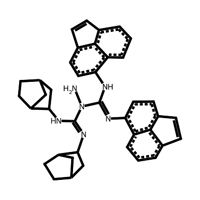 NN(C(=Nc1ccc2c3c(cccc13)C=C2)Nc1ccc2c3c(cccc13)C=C2)C(=NC1CC2CCC1C2)NC1CC2CCC1C2